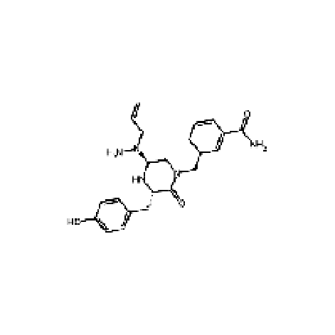 C=CCN(N)[C@H]1CN(C[C@@H]2C=C(C(N)=O)C=CC2)C(=O)[C@H](Cc2ccc(O)cc2)N1